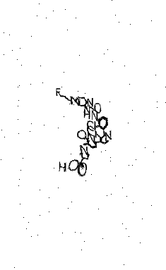 COc1nc(-c2ccnc(-c3cccc(NC(=O)c4nc5c(n4C)CCN(CCCF)C5)c3Cl)c2Cl)ccc1CN1CCC(C(=O)O)C1